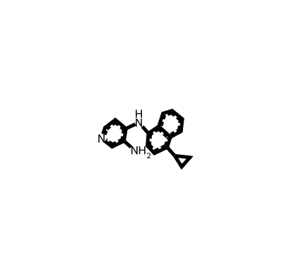 Nc1cnccc1Nc1ccc(C2CC2)c2ccccc12